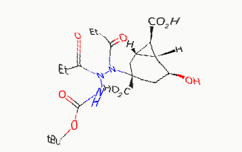 CCC(=O)N(NC(=O)OC(C)(C)C)N(C(=O)CC)[C@@]1(C(=O)O)C[C@H](O)[C@H]2[C@H](C(=O)O)[C@H]21